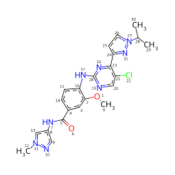 COc1cc(C(=O)Nc2cnn(C)c2)ccc1Nc1ncc(Cl)c(-c2ccn(C(C)C)n2)n1